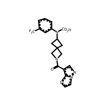 O=C(c1cnn2ccsc12)N1CC2(CC(N(C(=O)O)c3cccc(C(F)(F)F)c3)C2)C1